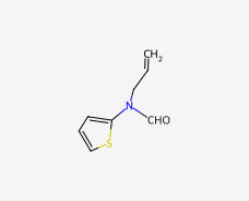 C=CCN(C=O)c1cccs1